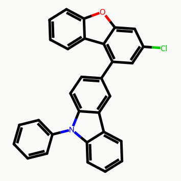 Clc1cc(-c2ccc3c(c2)c2ccccc2n3-c2ccccc2)c2c(c1)oc1ccccc12